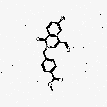 COC(=O)c1ccc(Cn2cc(C=O)c3cc(Br)ccc3c2=O)cc1